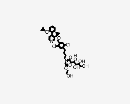 O=C(C(O)C(O)C(O)C(O)CO)N(CCCCc1cc(Cl)c(COC2(c3cnccc3-c3ccccc3OC3CC3)CC2)cc1Cl)CCOCCO